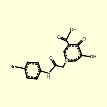 O=C(Cn1cc(O)c(=O)c(C(=O)O)c1)Nc1ccc(Br)cc1